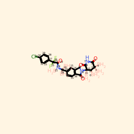 BC1C(B)(B)C(=O)NC(=O)[C@@]1(B)N1Cc2cc(C(B)(B)N(B)C(=O)C(F)(F)c3ccc(Cl)cc3)ccc2C1=O